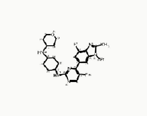 Cc1nc2c(F)cc(-c3nc(NC4CCC(NC5CCOCC5)CC4)ncc3F)cc2n1C(C)C